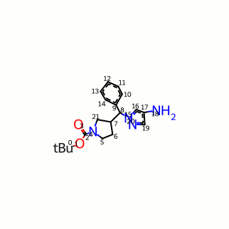 CC(C)(C)OC(=O)N1CCC(C(c2ccccc2)n2cc(N)cn2)C1